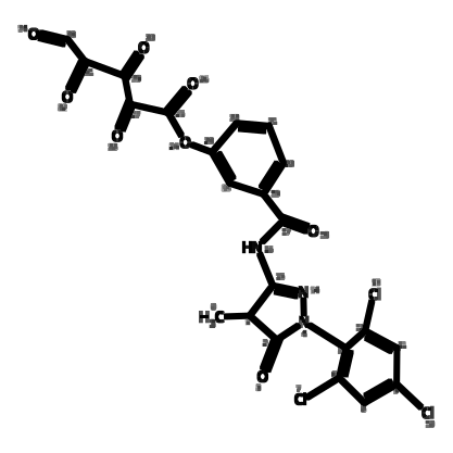 CC1C(=O)N(c2c(Cl)cc(Cl)cc2Cl)N=C1NC(=O)c1cccc(OC(=O)C(=O)C(=O)C(=O)C=O)c1